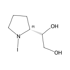 OCC(O)[C@H]1CCCN1I